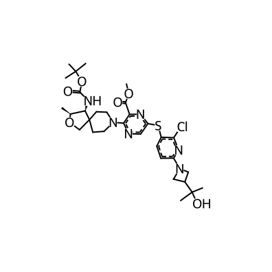 COC(=O)c1nc(Sc2ccc(N3CC(C(C)(C)O)C3)nc2Cl)cnc1N1CCC2(CC1)CO[C@@H](C)[C@H]2NC(=O)OC(C)(C)C